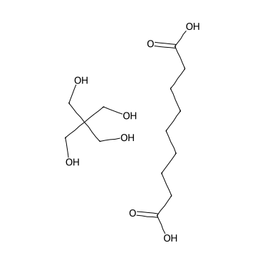 O=C(O)CCCCCCCC(=O)O.OCC(CO)(CO)CO